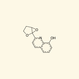 Oc1cccc2ccc(C34OCCC3O4)nc12